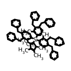 CC1=C(C)C(C)C([Si](c2ccc(Cc3ccccc3)c(Cc3ccccc3)c2C)(c2ccc(Cc3ccccc3)c(Cc3ccccc3)c2C)c2ccc(Cc3ccccc3)c(Cc3ccccc3)c2C)=C1C